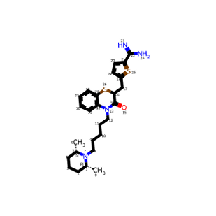 C[C@@H]1CCC[C@H](C)N1CCCCCN1C(=O)C(Cc2ccc(C(=N)N)s2)Sc2ccccc21